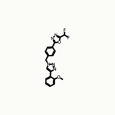 COc1ccccc1-c1cn(Cc2ccc(-c3nnc(C(F)F)o3)cc2)nn1